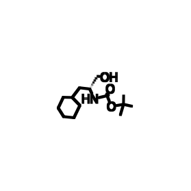 CC(C)(C)OC(=O)N[C@@H](CO)CC1CCCCC1